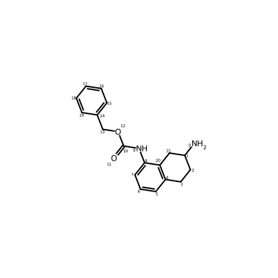 NC1CCc2cccc(NC(=O)OCc3ccccc3)c2C1